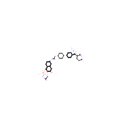 Cn1nc(C2CCC(=O)NC2=O)c2ccc([C@H]3CC[C@H](CC(=O)Nc4ccc5c(F)c(N6CC(=O)NS6(O)O)c(O)cc5c4)CC3)cc21